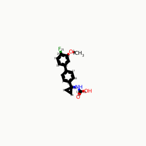 COc1cc(-c2ccc(C3(NC(=O)O)CC3)cc2)ccc1F